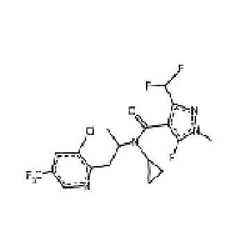 CC(Cc1ncc(C(F)(F)F)cc1Cl)N(C(=O)c1c(C(F)F)nn(C)c1F)C1CC1